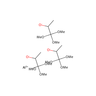 COC(OC)(OC)C(C)[O-].COC(OC)(OC)C(C)[O-].COC(OC)(OC)C(C)[O-].[Al+3]